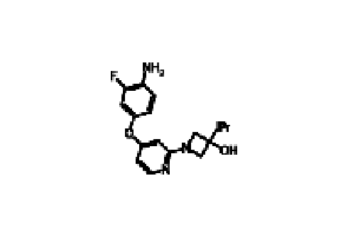 CC(C)C1(O)CN(c2cc(Oc3ccc(N)c(F)c3)ccn2)C1